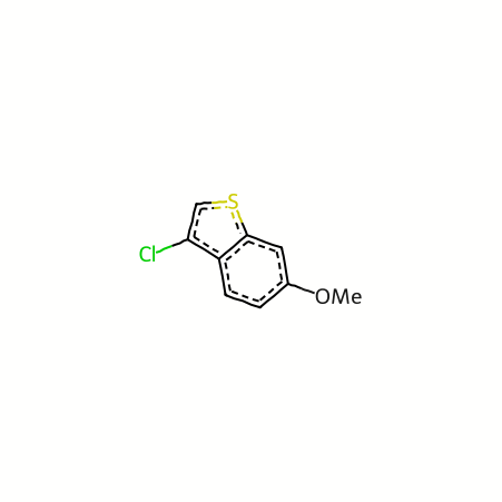 COc1ccc2c(Cl)csc2c1